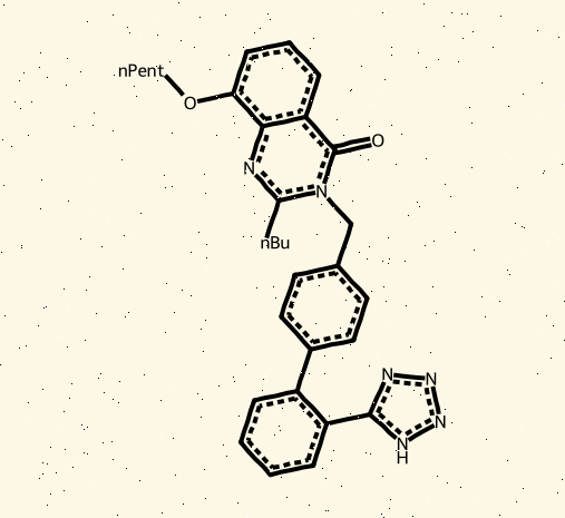 CCCCCOc1cccc2c(=O)n(Cc3ccc(-c4ccccc4-c4nnn[nH]4)cc3)c(CCCC)nc12